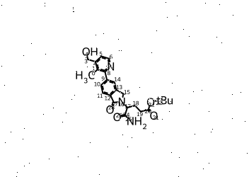 Cc1c(CO)ccnc1-c1ccc2c(c1)CN(C(CCC(=O)OC(C)(C)C)C(N)=O)C2=O